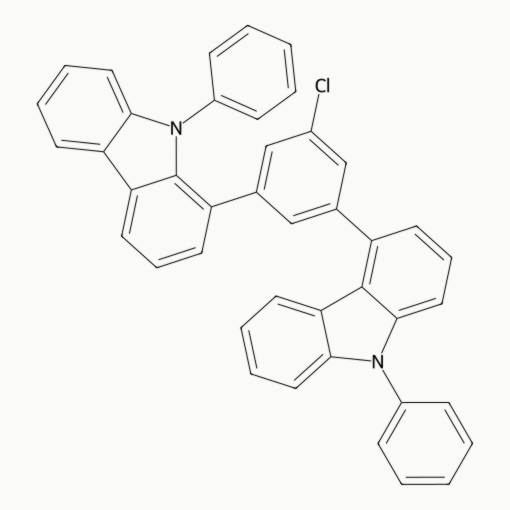 Clc1cc(-c2cccc3c2c2ccccc2n3-c2ccccc2)cc(-c2cccc3c4ccccc4n(-c4ccccc4)c23)c1